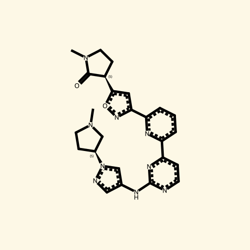 CN1CC[C@H](n2cc(Nc3nccc(-c4cccc(-c5cc([C@@H]6CCN(C)C6=O)on5)n4)n3)cn2)C1